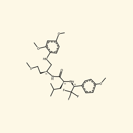 COc1ccc([C@H](N[C@@H](CC(C)C)C(=O)N[C@@H](CCSC)CNc2ccc(OC)cc2OC)C(F)(F)F)cc1